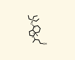 CC[Si](CC)(CC)O[C@H]1CCC[C@@]2(C)C1CC[C@@H]2C(C)CCO